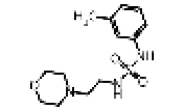 Cc1cccc(NS(=O)(=O)NCCN2CCOCC2)c1